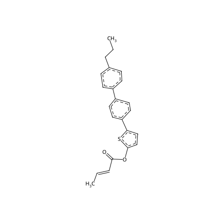 C/C=C/C(=O)Oc1ccc(-c2ccc(-c3ccc(CCC)cc3)cc2)s1